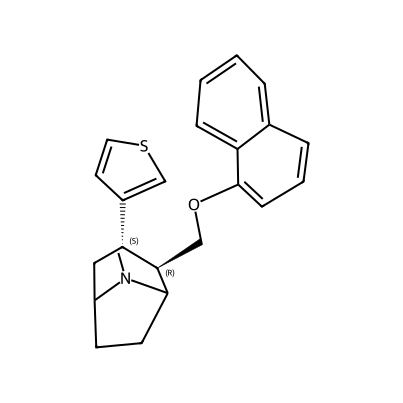 CN1C2CCC1[C@H](COc1cccc3ccccc13)[C@@H](c1ccsc1)C2